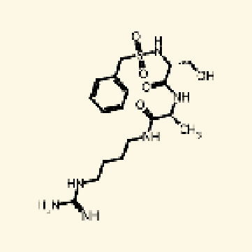 C[C@H](NC(=O)[C@@H](CO)NS(=O)(=O)Cc1ccccc1)C(=O)NCCCCNC(=N)N